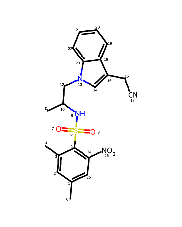 Cc1cc(C)c(S(=O)(=O)NC(C)Cn2cc(CC#N)c3ccccc32)c([N+](=O)[O-])c1